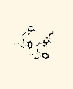 CC(C)OC(=O)C(C)NP(=O)(COC(C)Cn1cnc2c(N)ncnc21)Oc1ccccc1.CC(C)OC(=O)[C@H](C)NP(=O)(COC(C)Cn1cnc2c(N)ncnc21)Oc1ccccc1.COC(C)=O.O=C(O)/C=C/C(=O)O